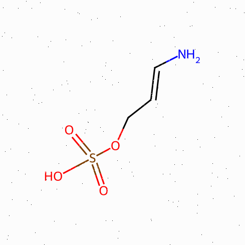 NC=CCOS(=O)(=O)O